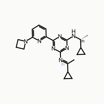 C/C(=N\c1nc(N[C@H](C)C2CC2)nc(-c2cccc(N3CCC3)n2)n1)C1CC1